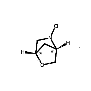 ClN1C[C@@H]2C[C@H]1CO2